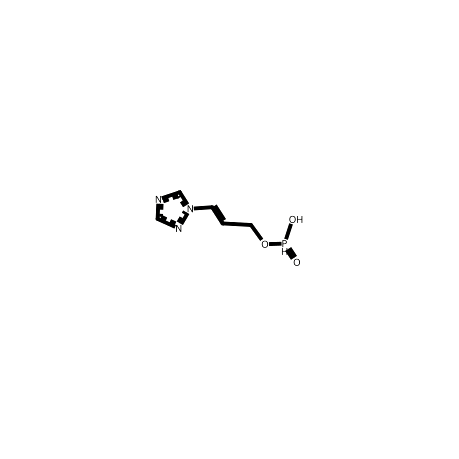 O=[PH](O)OCC=Cn1cncn1